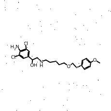 COc1ccc(CCOCCCCCNCC(O)c2cc(Cl)c(N)c(Cl)c2)cc1